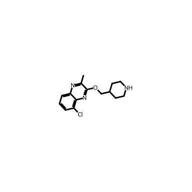 Cc1nc2cccc(Cl)c2nc1OCC1CCNCC1